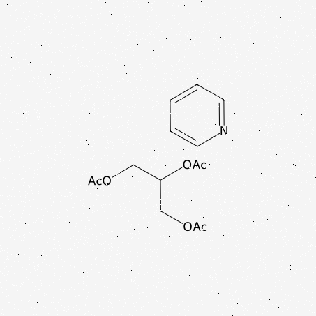 CC(=O)OCC(COC(C)=O)OC(C)=O.c1ccncc1